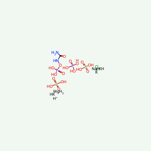 NC(=O)NOP(=O)(O)O.O=P(O)(O)O.O=S(=O)(O)O.O=S(=O)(O)O.[Cl][K].[H+].[KH].[KH].[MgH2].[NaH]